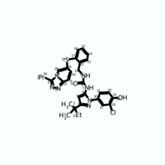 CCC(C)(C)c1cc(NC(=O)NCc2ccccc2Sc2ccc3nnc(C(C)C)n3c2)n(-c2ccc(O)c(Cl)c2)n1